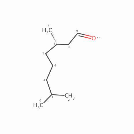 CC(C)C[CH]C[C@H](C)CC=O